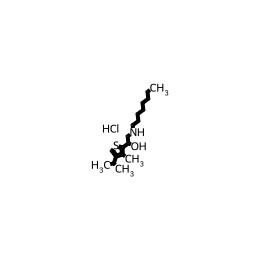 CCCCCCCCNCC(O)c1scc(C(C)C)c1C.Cl